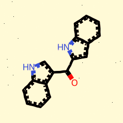 O=C(c1cc2ccccc2[nH]1)c1c[nH]c2ccccc12